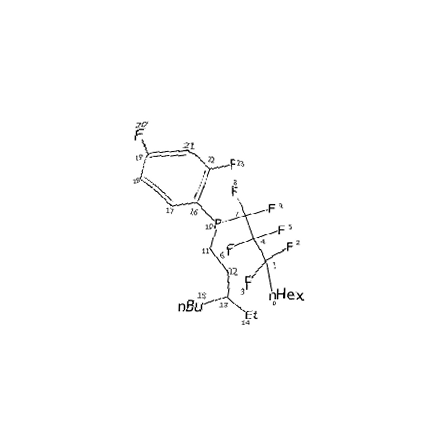 CCCCCCC(F)(F)C(F)(F)C(F)(F)P(CCC(CC)CCCC)c1ccc(F)cc1F